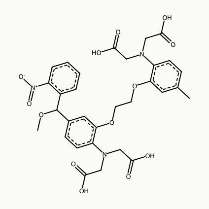 COC(c1ccc(N(CC(=O)O)CC(=O)O)c(OCCOc2cc(C)ccc2N(CC(=O)O)CC(=O)O)c1)c1ccccc1[N+](=O)[O-]